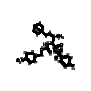 C[C@@H](OCC12CCC(CC1)OC2)[C@H](NC(=O)OCc1ccc([N+](=O)[O-])cc1)C(=O)NS(=O)(=O)c1ccc(F)cc1